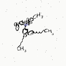 CCCCCCCCOc1ccc(/C(=N/NS(=O)(=O)c2ccc(C)cc2)c2cccc([N+](=O)[O-])c2)cc1OCCCCCCCC